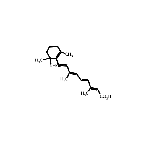 CC(=O)N[C@@]1(C)CCCC(C)=C1/C=C/C(C)=C/C=C/C(C)=C/C(=O)O